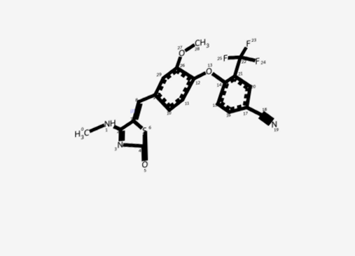 CNC1=NC(=O)S/C1=C\c1ccc(Oc2ccc(C#N)cc2C(F)(F)F)c(OC)c1